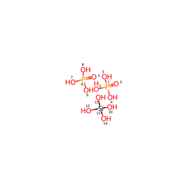 O=P(O)(O)O.O=P(O)(O)O.O[Si](O)(O)O